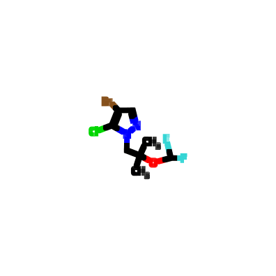 CC(C)(Cn1ncc(Br)c1Cl)OC(F)F